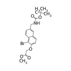 COC(=O)COc1ccc2cc(CNC(=O)OC(C)(C)C)ccc2c1Br